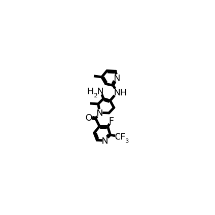 Cc1ccnc(NC2=C(N)C(C)N(C(=O)c3ccnc(C(F)(F)F)c3F)CC2)c1